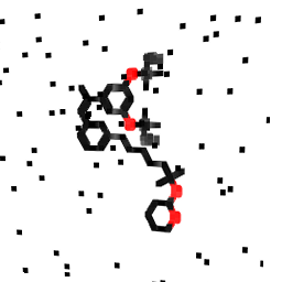 CC(=Cc1cccc(CCCCCC(C)(C)OC2CCCCO2)c1)c1cc(O[Si](C)(C)C(C)(C)C)cc(O[Si](C)(C)C(C)(C)C)c1